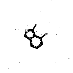 Cc1occ2cccc(Br)c12